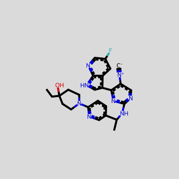 [C-]#[N+]c1cnc(NC(C)c2ccc(N3CCC(O)(CC)CC3)nc2)nc1-c1c[nH]c2ncc(F)cc12